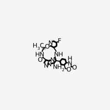 C[C@H]1CNC(=O)c2cnn3c(N)c(-c4ccc5c(c4)COC(=O)N5)c(nc23)NCc2cc(F)cnc2O1